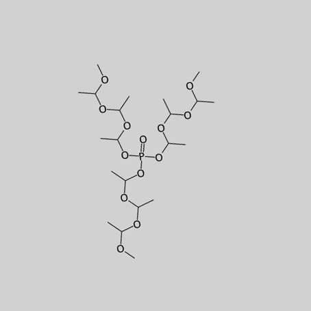 COC(C)OC(C)OC(C)OP(=O)(OC(C)OC(C)OC(C)OC)OC(C)OC(C)OC(C)OC